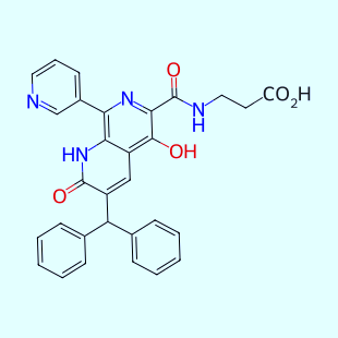 O=C(O)CCNC(=O)c1nc(-c2cccnc2)c2[nH]c(=O)c(C(c3ccccc3)c3ccccc3)cc2c1O